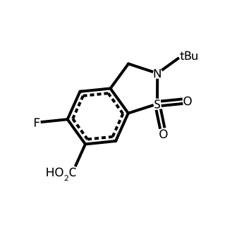 CC(C)(C)N1Cc2cc(F)c(C(=O)O)cc2S1(=O)=O